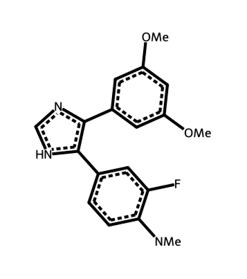 CNc1ccc(-c2[nH]cnc2-c2cc(OC)cc(OC)c2)cc1F